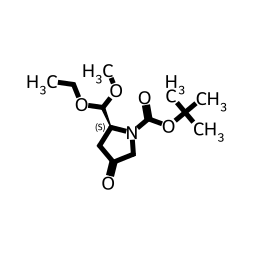 CCOC(OC)[C@@H]1CC(=O)CN1C(=O)OC(C)(C)C